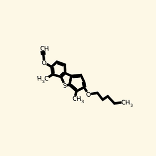 C#COc1ccc2c(sc3c(C)c(OCCCCC)ccc32)c1C